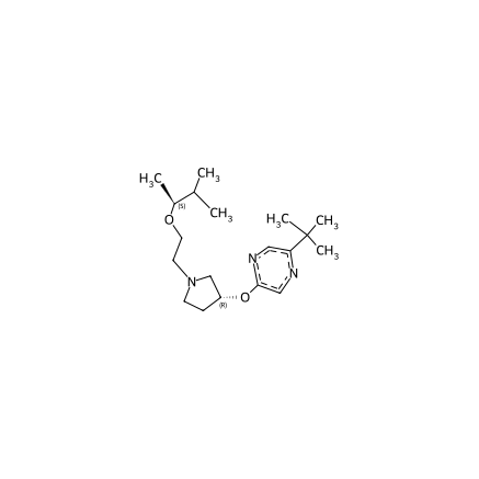 CC(C)[C@H](C)OCCN1CC[C@@H](Oc2cnc(C(C)(C)C)cn2)C1